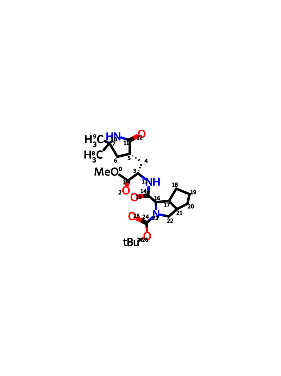 COC(=O)[C@H](C[C@@H]1CC(C)(C)NC1=O)NC(=O)C1C2CCCC2CN1C(=O)OC(C)(C)C